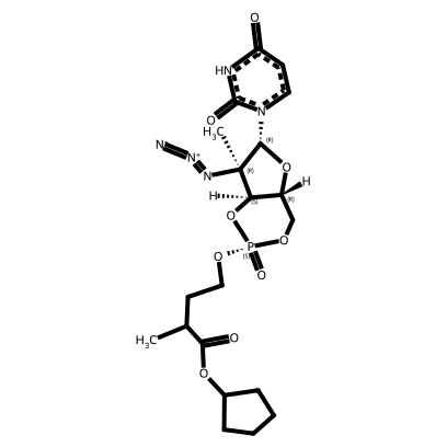 CC(CCO[P@@]1(=O)OC[C@H]2O[C@@H](n3ccc(=O)[nH]c3=O)[C@](C)(N=[N+]=[N-])[C@@H]2O1)C(=O)OC1CCCC1